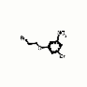 O=[N+]([O-])c1cc(Br)cc(OCCBr)c1